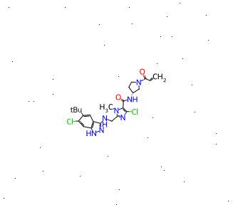 C=CC(=O)N1CC[C@@H](NC(=O)c2c(Cl)nc(CNc3n[nH]c4cc(Cl)c(C(C)(C)C)cc34)n2C)C1